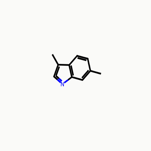 CC1=C=Nc2cc(C)ccc21